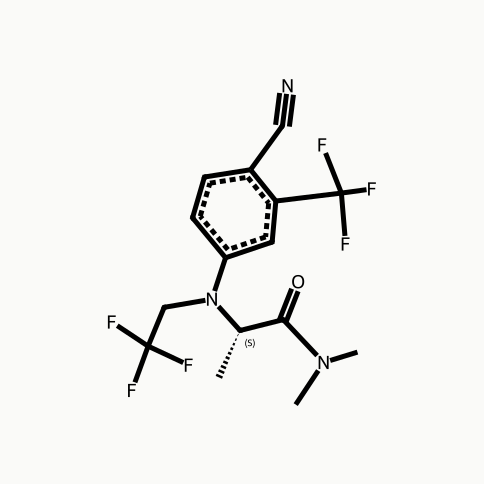 C[C@@H](C(=O)N(C)C)N(CC(F)(F)F)c1ccc(C#N)c(C(F)(F)F)c1